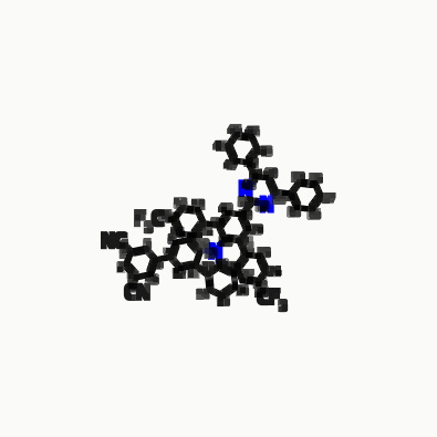 N#Cc1cc(C#N)cc(-c2ccc3c(c2)c2ccccc2n3-c2c(-c3ccc(C(F)(F)F)cc3)cc(-c3nc(-c4ccccc4)cc(-c4ccccc4)n3)cc2-c2ccc(C(F)(F)F)cc2)c1